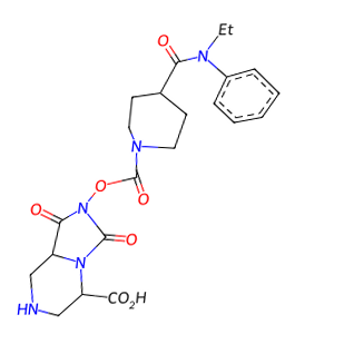 CCN(C(=O)C1CCN(C(=O)ON2C(=O)C3CNCC(C(=O)O)N3C2=O)CC1)c1ccccc1